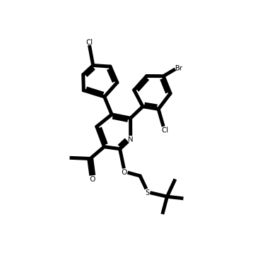 CC(=O)c1cc(-c2ccc(Cl)cc2)c(-c2ccc(Br)cc2Cl)nc1OCSC(C)(C)C